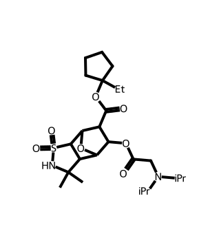 CCC1(OC(=O)C2C(OC(=O)CN(C(C)C)C(C)C)C3OC2C2C3C(C)(C)NS2(=O)=O)CCCC1